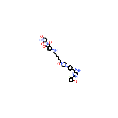 COc1cccc(F)c1-c1ncc2[nH]nc(-c3ccc(N4CCN(C(=O)CCCCCCNc5ccc6c(c5)C(=O)N(C5CCC(=O)NC5=O)C6=O)CC4)cc3)c2n1